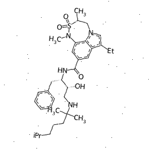 CCc1cn2c3c(cc(C(=O)N[C@@H](Cc4ccccc4)[C@H](O)CNC(C)(C)CCCC(C)C)cc13)N(C)S(=O)(=O)C(C)C2